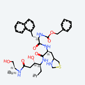 CC[C@H](C)[C@@H](CO)NC(=O)C[C@H](O)[C@H](CC(C)C)NC(=O)[C@H](CC1CSCN1)NC(=O)[C@H](Cc1cccc2ccccc12)NC(=O)OCc1ccccc1